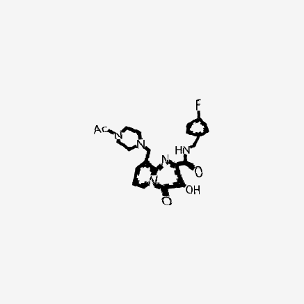 CC(=O)N1CCN(Cc2cccn3c(=O)c(O)c(C(=O)NCc4ccc(F)cc4)nc23)CC1